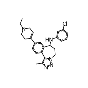 CCN1CC=C(c2ccc3c(c2)C(Nc2cccc(Cl)c2)CCn2nnc(C)c2-3)CC1